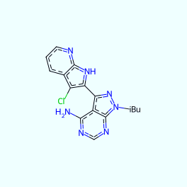 CCC(C)n1nc(-c2[nH]c3ncccc3c2Cl)c2c(N)ncnc21